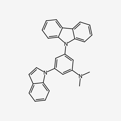 CN(C)c1cc(-n2ccc3ccccc32)cc(-n2c3ccccc3c3ccccc32)c1